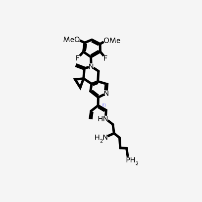 C=C/C(=C\NCC(N)CCCP)c1cc2c(cn1)CN(c1c(F)c(OC)cc(OC)c1F)C(=C)C21CC1